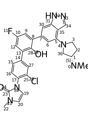 CN[C@H]1CCN(c2cc(-c3cc(F)cc(-c4ccc(-n5ccn(C)c5=O)c(Cl)c4)c3O)cc3[nH]ncc23)C1